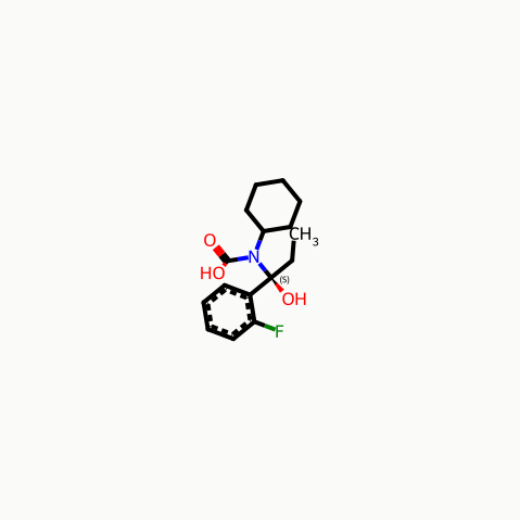 CC[C@](O)(c1ccccc1F)N(C(=O)O)C1CCCCC1